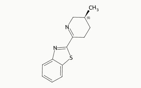 C[C@H]1CCC(c2nc3ccccc3s2)=NC1